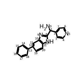 NC(c1ccncc1)c1nc2cc(-c3ccccc3)ccc2[nH]1